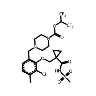 Cc1ccc(CN2CCN(C(=O)OC(C(F)(F)F)C(F)(F)F)CC2)c(OCC2(C(=O)NS(C)(=O)=O)CC2)c1Cl